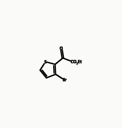 CCOC(=O)C(=O)c1sccc1Br